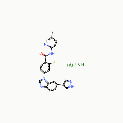 Cc1ccc(NC(=O)c2ccc(-n3cnc4ccc(-c5cn[nH]c5)cc43)cc2F)nc1.Cl.Cl.Cl